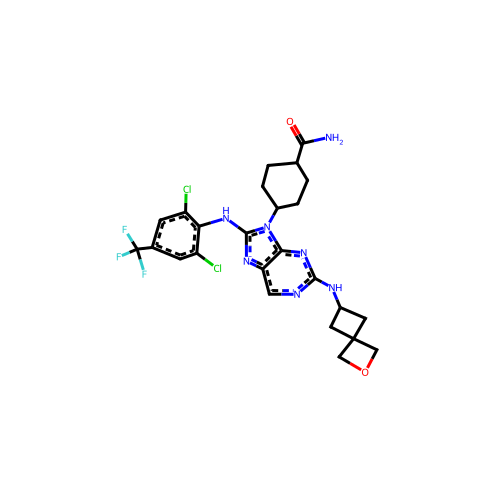 NC(=O)C1CCC(n2c(Nc3c(Cl)cc(C(F)(F)F)cc3Cl)nc3cnc(NC4CC5(COC5)C4)nc32)CC1